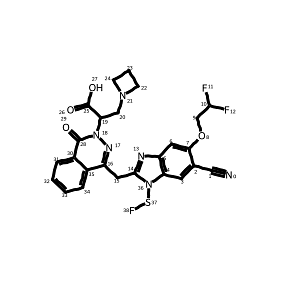 N#Cc1cc2c(cc1OCC(F)F)nc(Cc1nn(C(CN3CCC3)C(=O)O)c(=O)c3ccccc13)n2SF